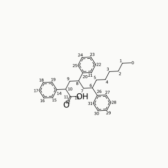 CCCCCCC(CC(CC(C(=O)O)c1ccccc1)c1ccccc1)c1ccccc1